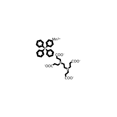 O=C([O-])CCN(CCC(=O)[O-])CCN(CCC(=O)[O-])CCC(=O)[O-].[Mn+3].c1ccc([P+](c2ccccc2)(c2ccccc2)c2ccccc2)cc1